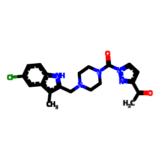 CC(=O)c1ccn(C(=O)N2CCN(Cc3[nH]c4ccc(Cl)cc4c3C)CC2)n1